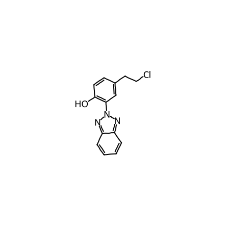 Oc1ccc(CCCl)cc1-n1nc2ccccc2n1